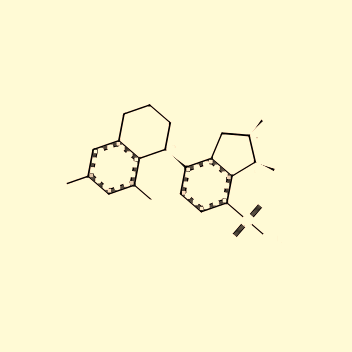 CS(=O)(=O)c1ccc([C@@H]2CCCc3cc(F)cc(F)c32)c2c1[C@H](O)[C@H](F)C2